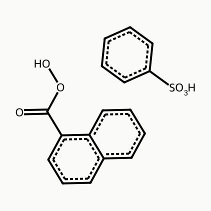 O=C(OO)c1cccc2ccccc12.O=S(=O)(O)c1ccccc1